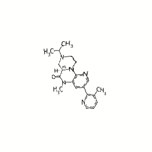 Cc1cccnc1-c1cnc2c(c1)N(C)C(=O)[C@H]1CN(C(C)C)CCN21